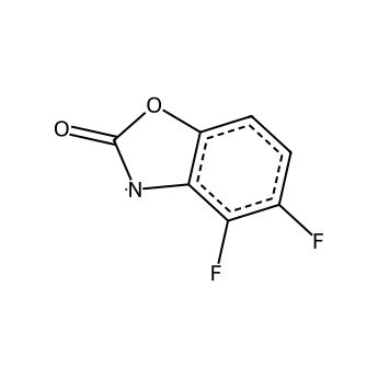 O=C1[N]c2c(ccc(F)c2F)O1